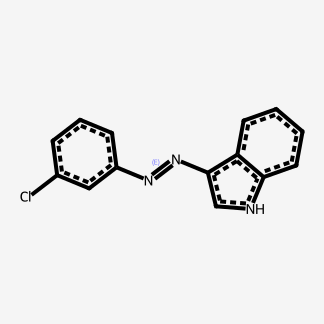 Clc1cccc(/N=N/c2c[nH]c3ccccc23)c1